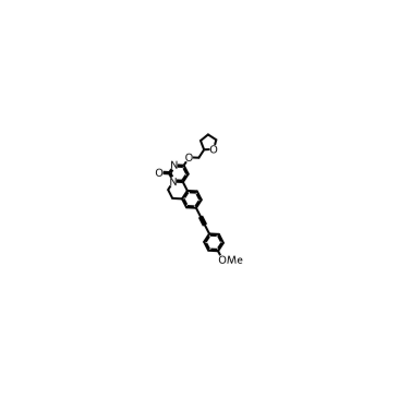 COc1ccc(C#Cc2ccc3c(c2)CCn2c-3cc(OCC3CCCO3)nc2=O)cc1